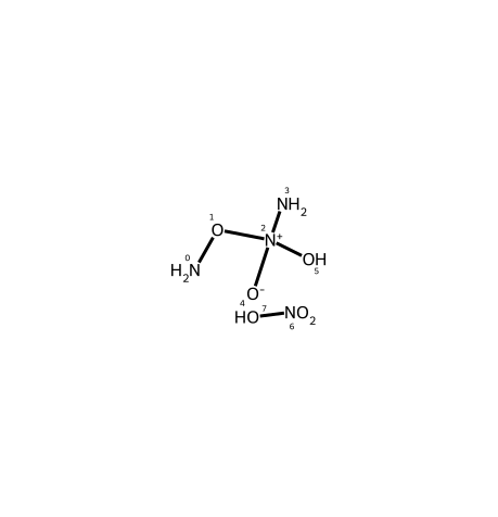 NO[N+](N)([O-])O.O=[N+]([O-])O